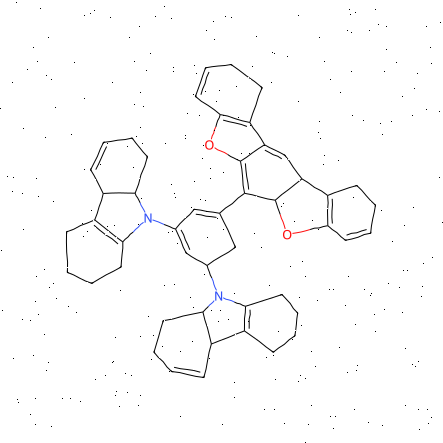 C1=CC2=C(CC1)C1C=c3c4c(oc3=C(C3=CC(N5C6=C(CCCC6)C6C=CCCC65)=CC(N5C6=C(CCCC6)C6C=CCCC65)C3)C1O2)C=CCC4